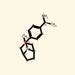 C[C@H](N)c1ccc(CN2C3CCC2CN(C)C3)cc1